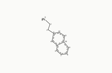 CC(C)CCc1[c]c2ccccc2cc1